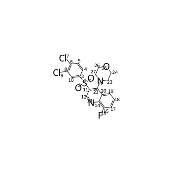 O=S(=O)(c1ccc(Cl)c(Cl)c1)c1cnc2c(F)cccc2c1N1CCOCC1